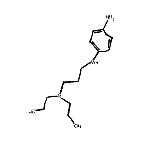 Nc1ccc(NCCCN(CCO)CCO)cc1